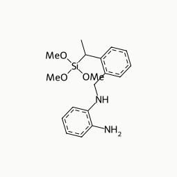 CO[Si](OC)(OC)C(C)c1ccccc1CNc1ccccc1N